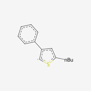 CCCCc1cc(-c2ccccc2)[c]s1